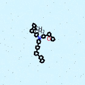 CC1(C)c2ccccc2-c2cccc(-c3ccc(N(c4ccc(-c5ccc(-c6cccc(-c7ccc8ccccc8c7)c6)cc5)cc4)c4ccc(-c5cccc6c5oc5ccccc56)cc4)cc3)c21